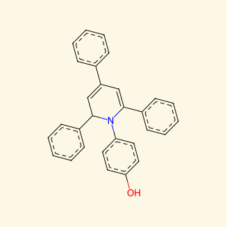 Oc1ccc(N2C(c3ccccc3)=CC(c3ccccc3)=CC2c2ccccc2)cc1